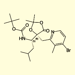 Cc1c(Br)ccnc1C[C@]1([C@H](CC(C)C)NC(=O)OC(C)(C)C)OC(C)(C)OC1=O